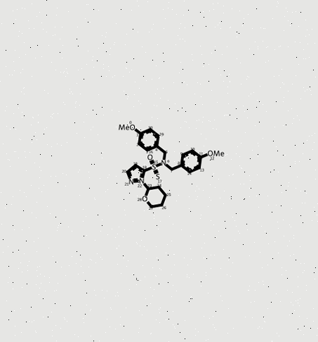 COc1ccc(CN(Cc2ccc(OC)cc2)S(=O)(=S)c2ccnn2C2CCCCO2)cc1